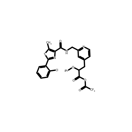 Cc1sc(-c2ccccc2Cl)nc1C(=O)NCc1cc(CC(OC(C)C)C(=O)OC(=O)C(F)(F)F)ccn1